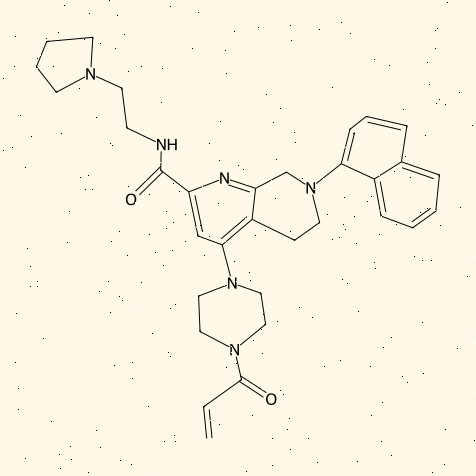 C=CC(=O)N1CCN(c2cc(C(=O)NCCN3CCCC3)nc3c2CCN(c2cccc4ccccc24)C3)CC1